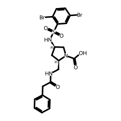 O=C(Cc1ccccc1)NC[C@H]1C[C@@H](NS(=O)(=O)c2cc(Br)ccc2Br)CN1C(=O)O